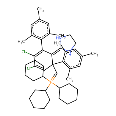 Cc1cc(C)c(C2=C(Cl)C(Cl)=CC(C=P(C3CCCCC3)(C3CCCCC3)C3CCCCC3)(c3c(C)cc(C)cc3C)C2=C2NCCN2)c(C)c1